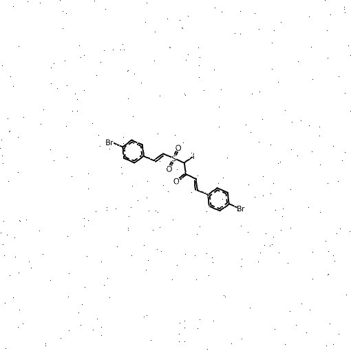 O=C(C=Cc1ccc(Br)cc1)C(I)S(=O)(=O)C=Cc1ccc(Br)cc1